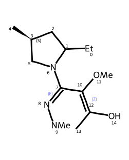 CCC1C[C@H](C)CN1C(=N/NC)/C(OC)=C(\C)O